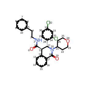 O=C(NCCc1ccccc1)[C@@H]1c2ccccc2C(=O)N(C2CCOCC2)[C@H]1c1ccc(Cl)cc1Cl